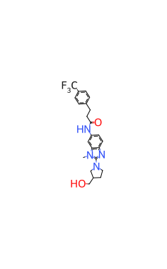 Cn1c(N2CCC(CO)C2)nc2ccc(NC(=O)CCc3ccc(C(F)(F)F)cc3)cc21